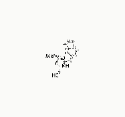 C#CCNC(Cc1ccc2c(c1)CCC2)OC(=O)NC